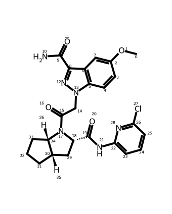 COc1ccc2c(c1)c(C(N)=O)nn2CC(=O)N1[C@H](C(=O)Nc2cccc(Cl)n2)C[C@@H]2CCC[C@@H]21